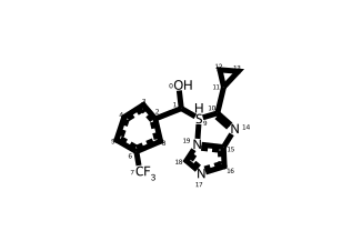 OC(c1cccc(C(F)(F)F)c1)[SH]1C(C2CC2)=Nc2cncn21